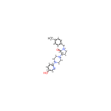 Cc1ccc(CN2CC[C@@H](N3CCN(c4ccc(O)cn4)CC3)C2=O)cc1